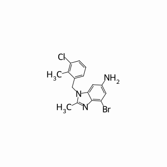 Cc1c(Cl)cccc1Cn1c(C)nc2c(Br)cc(N)cc21